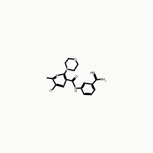 Cc1nc(N2CCOCC2)c(C(=O)Nc2cccc(C(=N)N)c2)cc1Cl